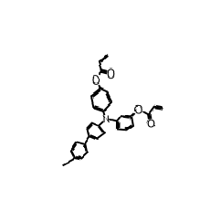 C=CC(=O)Oc1ccc(N(c2ccc(-c3ccc(C)cc3)cc2)c2cccc(OC(=O)C=C)c2)cc1